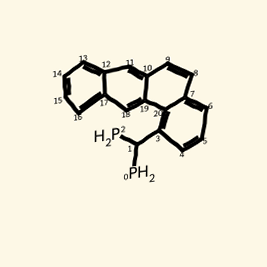 PC(P)c1cccc2ccc3cc4ccccc4cc3c12